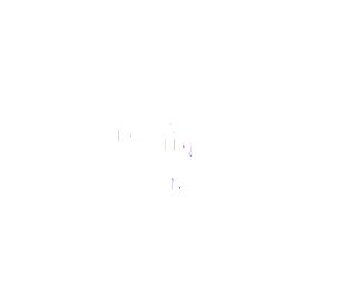 C[C@@H](Cc1ncc(F)cn1)[SH](=O)=O